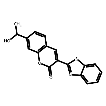 CC(O)c1ccc2cc(-c3nc4ccccc4s3)c(=O)oc2c1